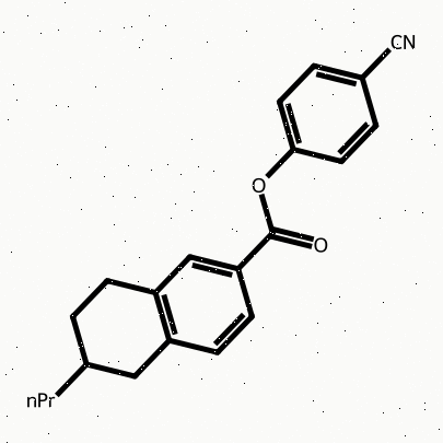 CCCC1CCc2cc(C(=O)Oc3ccc(C#N)cc3)ccc2C1